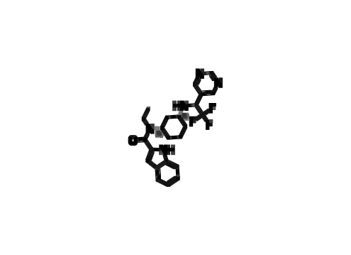 CCN(C(=O)c1cc2ccccc2[nH]1)[C@H]1CCC[C@@H](NC(c2cncnc2)C(F)(F)F)C1